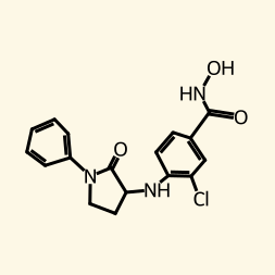 O=C(NO)c1ccc(NC2CCN(c3ccccc3)C2=O)c(Cl)c1